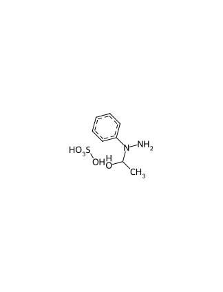 CC(O)N(N)c1ccccc1.O=S(=O)(O)O